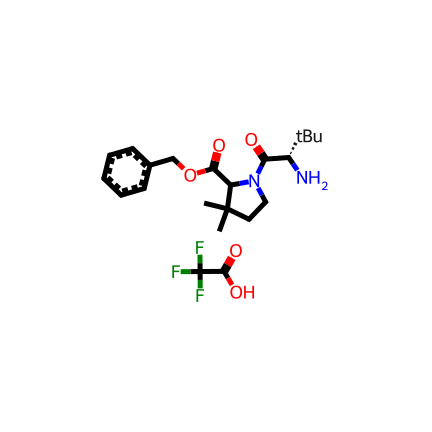 CC1(C)CCN(C(=O)[C@@H](N)C(C)(C)C)C1C(=O)OCc1ccccc1.O=C(O)C(F)(F)F